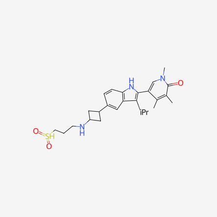 Cc1c(-c2[nH]c3ccc(C4CC(NCCC[SH](=O)=O)C4)cc3c2C(C)C)cn(C)c(=O)c1C